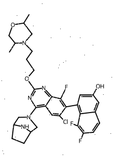 CC1CN(CCCOc2nc(N3CC4CCC(C3)N4)c3cc(Cl)c(-c4cc(O)cc5ccc(F)c(F)c45)c(F)c3n2)C(C)CO1